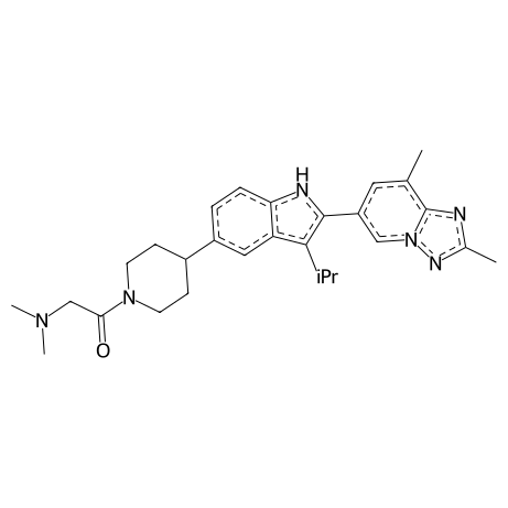 Cc1nc2c(C)cc(-c3[nH]c4ccc(C5CCN(C(=O)CN(C)C)CC5)cc4c3C(C)C)cn2n1